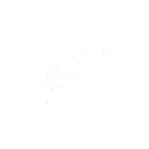 CC1(CCO)CCc2cc(Cl)ccc2O1